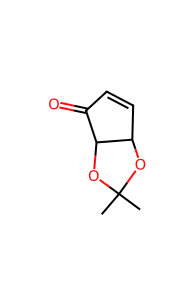 CC1(C)OC2C=CC(=O)C2O1